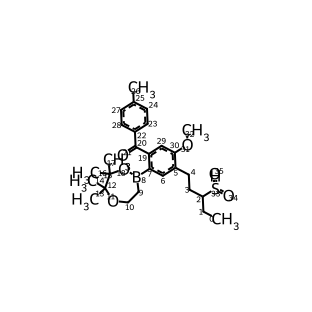 CCC(CCc1cc(B2CCOC(C)(C)C(C)(C)O2)c(C(=O)c2ccc(C)cc2)cc1OC)[SH](=O)=O